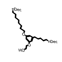 CCCCCCCCCCCCCCCCCCOc1cc(CCCCCCCCCCCCCCC)cc(OCCO)c1